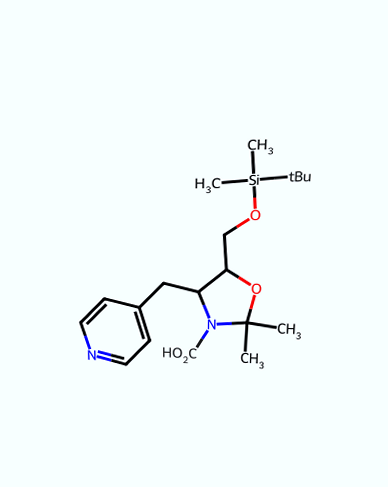 CC1(C)OC(CO[Si](C)(C)C(C)(C)C)C(Cc2ccncc2)N1C(=O)O